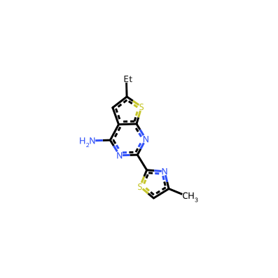 CCc1cc2c(N)nc(-c3nc(C)cs3)nc2s1